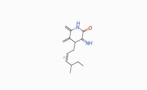 C=C1NC(=O)C(=N)C(C/C=C\C(C)CC)C1=C